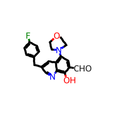 O=Cc1cc(N2CCOCC2)c2cc(Cc3ccc(F)cc3)cnc2c1O